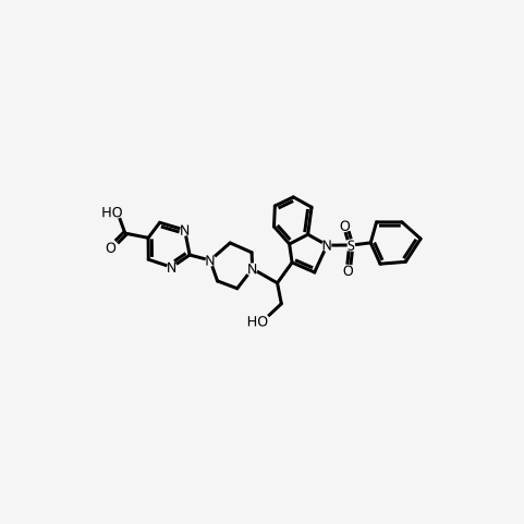 O=C(O)c1cnc(N2CCN(C(CO)c3cn(S(=O)(=O)c4ccccc4)c4ccccc34)CC2)nc1